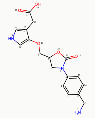 NCc1ccc(N2CC(COc3c[nH]cc3CC(=O)O)OC2=O)cc1